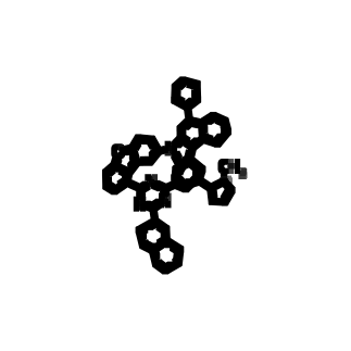 C[C@H]1C=CC=C1C1C=C(c2nc(-c3ccc4ccccc4c3)nc(-c3cccc4oc5ccc(-n6c7ccccc7c7c8ccccc8c(-c8ccccc8)cc76)cc5c34)n2)C=CC1